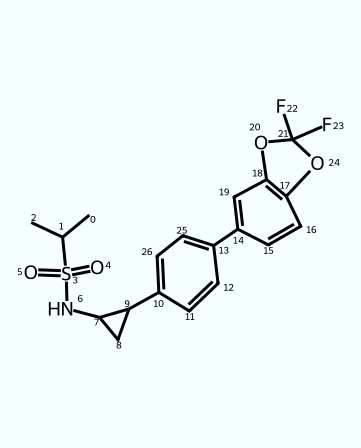 CC(C)S(=O)(=O)NC1CC1c1ccc(-c2ccc3c(c2)OC(F)(F)O3)cc1